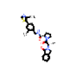 Cc1cc(-c2scnc2C)ccc1CNC(=O)[C@@H]1CCCN1C(=O)[C@H](C(C)C)N1Cc2ccccc2C1=O